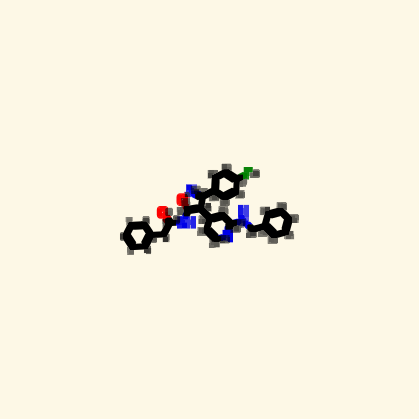 O=C(Cc1ccccc1)Nc1onc(-c2ccc(F)cc2)c1-c1ccnc(NCc2ccccc2)c1